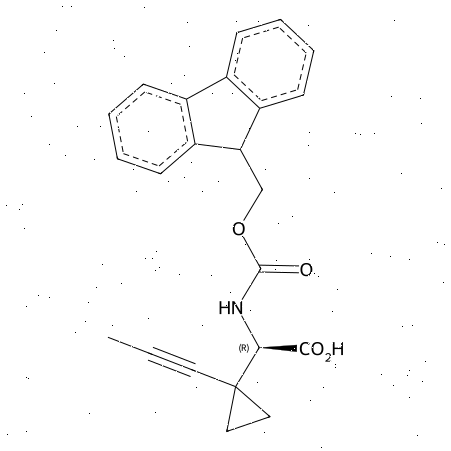 CC#CC1([C@@H](NC(=O)OCC2c3ccccc3-c3ccccc32)C(=O)O)CC1